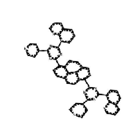 c1cnc2c(-c3nc(-c4ccncc4)nc(-c4ccc5ccc6c(-c7nc(-c8ccncc8)nc(-c8cccc9cccnc89)n7)ccc7ccc4c5c76)n3)cccc2c1